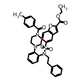 CCOC(=O)c1cc2cc(S(=O)(=O)N(CCc3ccccc3)c3ccccc3N3CCN(C(=O)c4ccc(C)cc4)CC3)ccc2o1